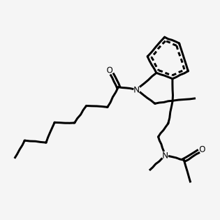 CCCCCCCC(=O)N1CC(C)(CCN(C)C(C)=O)c2ccccc21